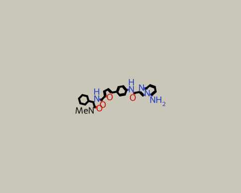 CNC(=O)[C@@H](NC(=O)c1ccc(-c2ccc(NC(=O)c3cn4c(N)cccc4n3)cc2)o1)C1CCCCC1